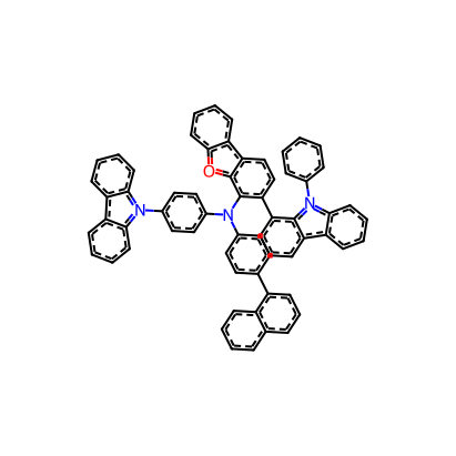 c1ccc(-n2c3ccccc3c3cccc(-c4ccc5c(oc6ccccc65)c4N(c4ccc(-c5cccc6ccccc56)cc4)c4ccc(-n5c6ccccc6c6ccccc65)cc4)c32)cc1